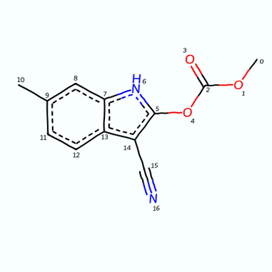 COC(=O)Oc1[nH]c2cc(C)ccc2c1C#N